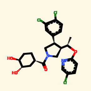 C[C@H](Oc1ccc(Cl)cn1)[C@H]1CN(C(=O)[C@H]2CC[C@H](O)[C@@H](O)C2)C[C@@H]1c1ccc(Cl)c(Cl)c1